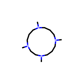 CN1CCCN(C)CCCN(C)CCN(C)CCC1